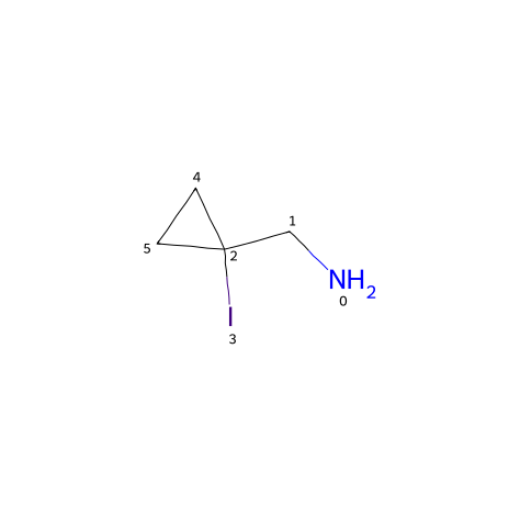 NCC1(I)CC1